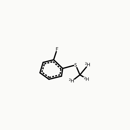 [2H]C([2H])([2H])Sc1ccccc1F